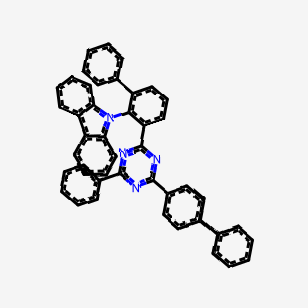 c1ccc(-c2ccc(-c3nc(-c4ccccc4)nc(-c4cccc(-c5ccccc5)c4-n4c5ccccc5c5ccccc54)n3)cc2)cc1